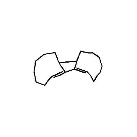 C1=C2\C3=C/CCCCCCC3C2CCCCCC/1